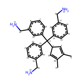 CC1=C[C](C(c2cccc(CN)c2)(c2cccc(CN)c2)c2cccc(CN)c2)C=C1C